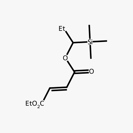 CCOC(=O)/C=C/C(=O)OC(CC)[Si](C)(C)C